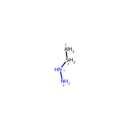 NN[SiH2][AlH2]